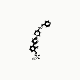 CC(C)(C)[Si](C)(C)OCc1cccc(-c2cnc(N3CCC(=NOCc4ccncc4)CC3)nc2)c1F